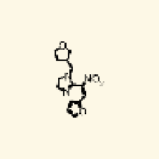 O=[N+]([O-])C(=Cc1ccco1)C1=NCCN1CC1CCOC1